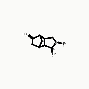 C=C1CC2CC1C1CN(C(C)C)C(C(C)C)C21